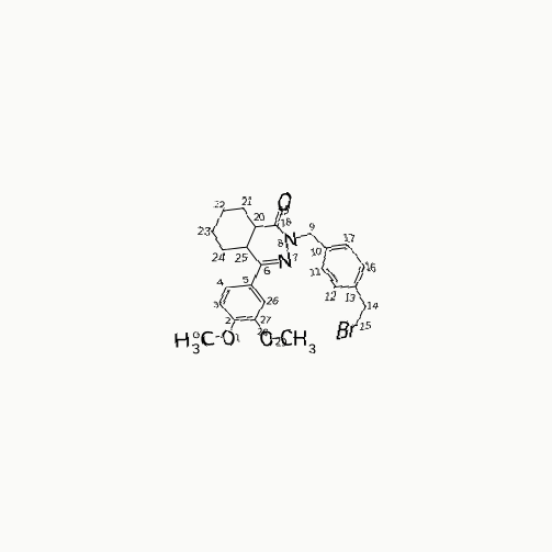 COc1ccc(C2=NN(Cc3ccc(CBr)cc3)C(=O)C3CCCCC23)cc1OC